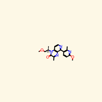 COC[C@@H](C)n1c(=O)c(C)nc2c(-c3ccc(OC)nc3C)nccc21